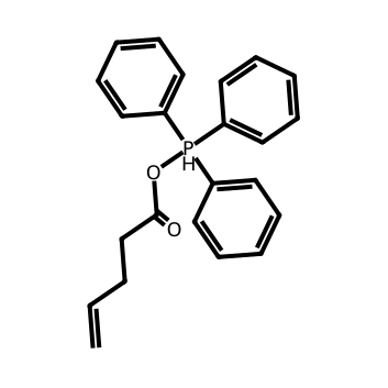 C=CCCC(=O)O[PH](c1ccccc1)(c1ccccc1)c1ccccc1